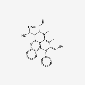 C=CCC1C(C(O)OC)c2cc3ccccc3c3c2C(=C(C)/C(=C\C(C)C)N3c2ccccc2)N1C